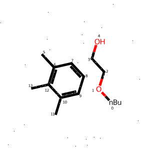 CCCCOCCO.Cc1cccc(C)c1C